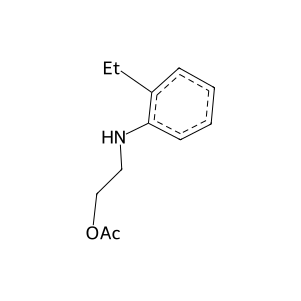 CCc1ccccc1NCCOC(C)=O